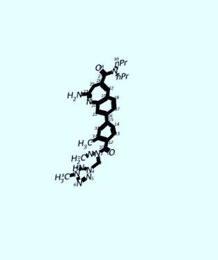 C=NN(CN1N=NN(C)N1)C(=O)c1ccc(-c2ccc3c(c2)N=C(N)CC(C(=O)N(CCC)CCC)=C3)cc1C